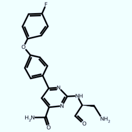 NC[C@@H](C=O)Nc1nc(C(N)=O)cc(-c2ccc(Oc3ccc(F)cc3)cc2)n1